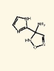 NC1(c2ncc[nH]2)C=NON1